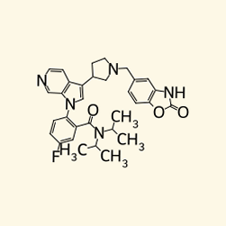 CC(C)N(C(=O)c1cc(F)ccc1-n1cc(C2CCN(Cc3ccc4oc(=O)[nH]c4c3)C2)c2ccncc21)C(C)C